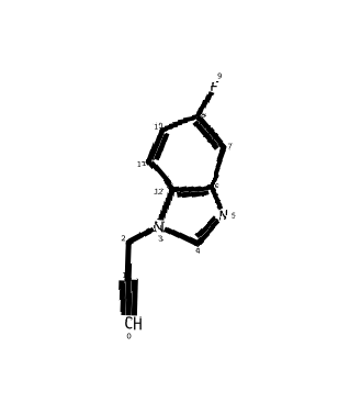 C#CCn1cnc2cc(F)ccc21